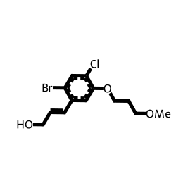 COCCCOc1cc(C=CCO)c(Br)cc1Cl